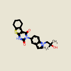 CC(C)(O)Cn1ccc2cc(-n3c(=O)[nH]c4sc5c(c4c3=O)CCCC5)ccc21